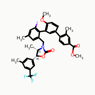 COC(=O)c1ccc(-c2ccc(OC)c(-c3c(I)cc(C)cc3CN3C(=O)O[C@H](c4cc(C)cc(C(F)(F)F)c4)[C@@H]3C)c2)c(C)c1